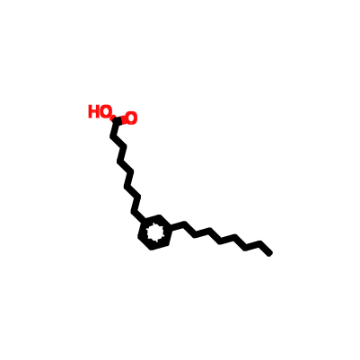 CCCCCCCCc1cccc(CCCCCCCC(=O)O)c1